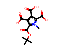 Cn1c(C(=O)O)c(C(=O)O)c(C(=O)O)c1C(=O)OC(C)(C)C